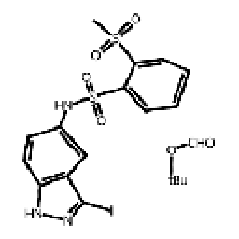 CC(C)(C)OC=O.CS(=O)(=O)c1ccccc1S(=O)(=O)Nc1ccc2[nH]nc(I)c2c1